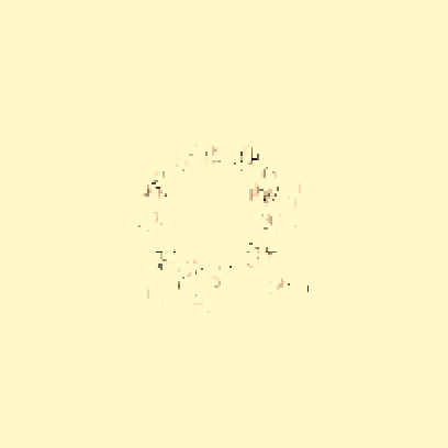 C/C=C/C[C@@H](C)[C@@H](O)[C@H]1C(=O)N[C@@H](CC)C(=O)N(C)[C@H](CSCCCN(CC)C(C)C)C(=O)N(C)[C@@H](CC(C)(C)O)C(=O)N[C@@H](C(C)C)C(=O)N(C)[C@@H](CC(C)C)C(=O)N[C@@H](C)C(=O)N[C@H](C)C(=O)N(C)[C@@H](CC(C)C)C(=O)N(C)[C@@H](CC(C)C)C(=O)N(C)[C@@H](C(C)C)C(=O)N1C